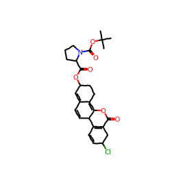 CC(C)(C)OC(=O)N1CCCC1C(=O)OC1C=C2C=CC3C4=C(CC(Cl)C=C4)C(=O)OC3=C2CC1